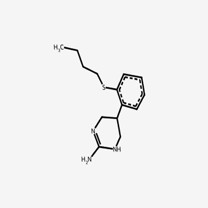 CCCCSc1ccccc1C1CN=C(N)NC1